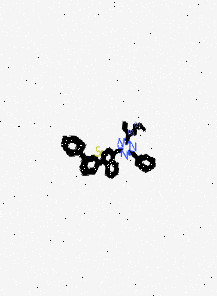 C=C/C(=C\C=C/C)c1nc(-c2ccccc2)nc(-c2cc3sc4c(-c5ccccc5)cccc4c3c3ccccc23)n1